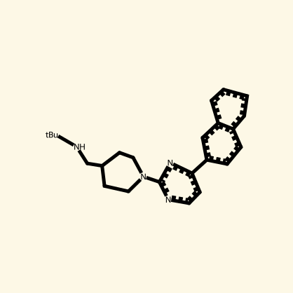 CC(C)(C)NCC1CCN(c2nccc(-c3ccc4ccccc4c3)n2)CC1